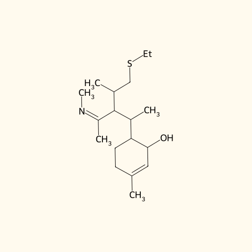 CCSCC(C)C(/C(C)=N\C)C(C)C1CCC(C)=CC1O